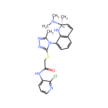 Cc1nnc(SCC(=O)Nc2cccnc2Cl)n1-c1cccc2c1N[C@@](C)(N(C)C)C=C2